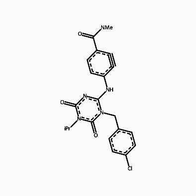 CNC(=O)c1c#cc(Nc2nc(=O)n(C(C)C)c(=O)n2Cc2ccc(Cl)cc2)cc1